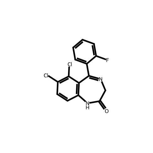 O=C1CN=C(c2ccccc2F)c2c(ccc(Cl)c2Cl)N1